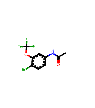 CC(=O)Nc1ccc(Br)c(OC(F)(F)F)c1